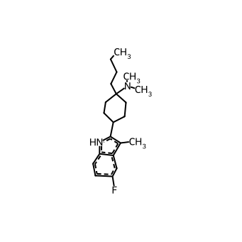 CCCCC1(N(C)C)CCC(c2[nH]c3ccc(F)cc3c2C)CC1